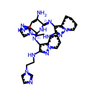 N=C1C=C(N)/C(=N/c2c(NCCn3ccnc3)nn3ccccc23)N/C1=N\c1c(NCCn2ccnc2)nn2ccccc12